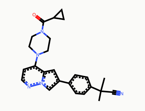 CC(C)(C#N)c1ccc(-c2cc3c(N4CCN(C(=O)C5CC5)CC4)ccnn3c2)cc1